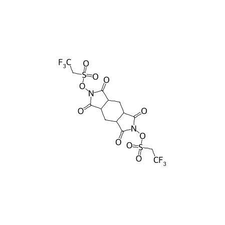 O=C1C2CC3C(=O)N(OS(=O)(=O)CC(F)(F)F)C(=O)C3CC2C(=O)N1OS(=O)(=O)CC(F)(F)F